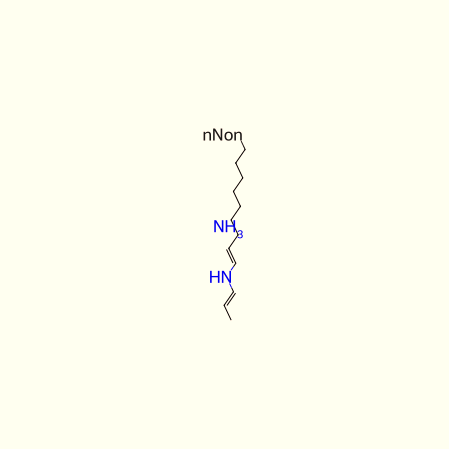 C/C=C/N/C=C/CCCCCCCCCCCCCCCC.N